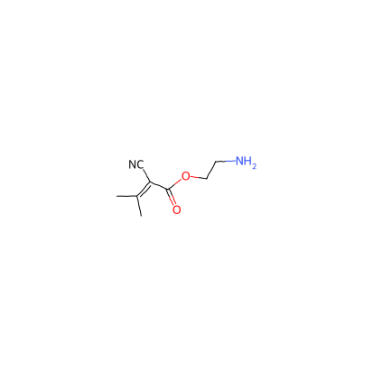 CC(C)=C(C#N)C(=O)OCCN